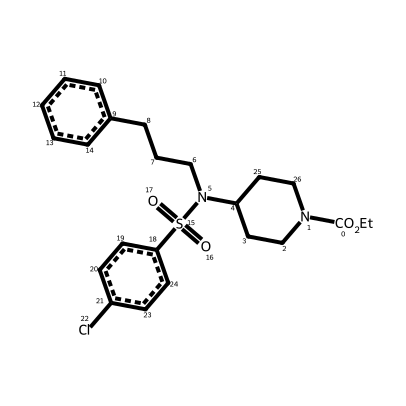 CCOC(=O)N1CCC(N(CCCc2ccccc2)S(=O)(=O)c2ccc(Cl)cc2)CC1